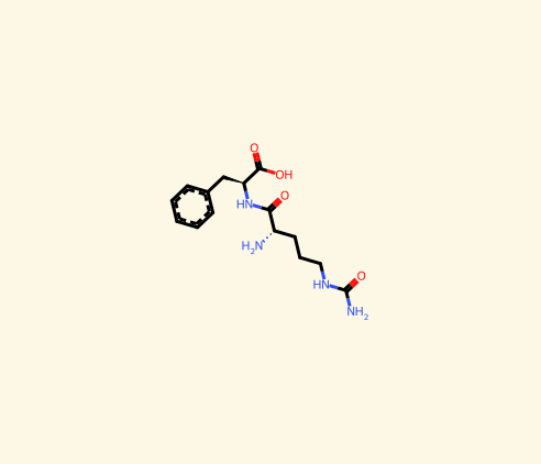 NC(=O)NCCC[C@H](N)C(=O)N[C@@H](Cc1ccccc1)C(=O)O